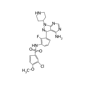 COc1ccc(S(=O)(=O)Nc2cccc(-c3nn(C4CCNCC4)c4ncnc(N)c34)c2F)cc1Cl